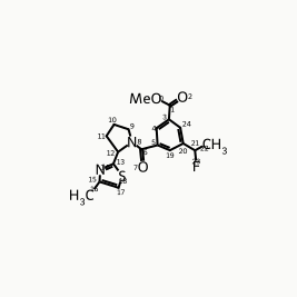 COC(=O)c1cc(C(=O)N2CCCC2c2nc(C)cs2)cc(C(C)F)c1